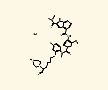 COc1cc(C(=O)N(C)c2ccc(C)cc2OCCCCC(C=O)N2CCN(C)CC2)ccc1NC(=O)c1cccc2[nH]c(C(=O)N(C)C)cc12.Cl